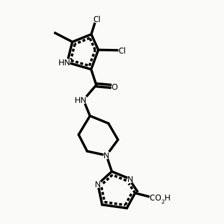 Cc1[nH]c(C(=O)NC2CCN(c3nccc(C(=O)O)n3)CC2)c(Cl)c1Cl